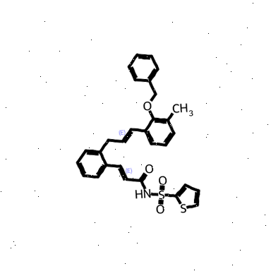 Cc1cccc(/C=C/Cc2ccccc2/C=C/C(=O)NS(=O)(=O)c2cccs2)c1OCc1ccccc1